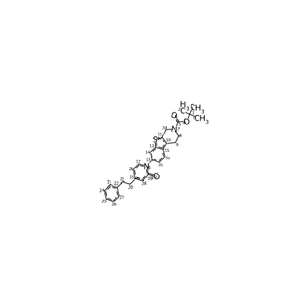 CC(C)(C)OC(=O)N1CCc2c(sc3cc(-n4ccc(CCc5ccccc5)cc4=O)ccc23)C1